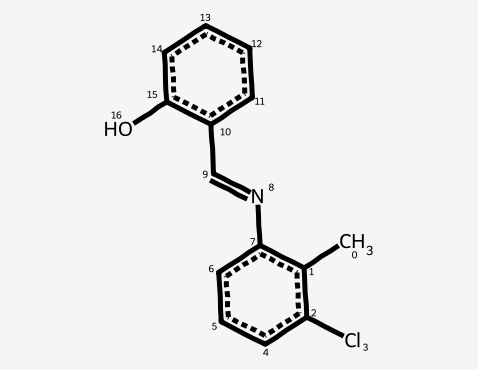 Cc1c(Cl)cccc1/N=C/c1ccccc1O